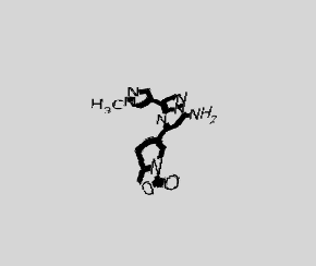 Cn1cc(-c2cnn3c(N)cc(C4CCC5COC(=O)N5C4)nc23)cn1